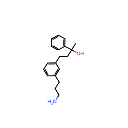 CC(O)(CCc1cccc(CCCN)c1)c1ccccc1